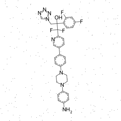 Nc1ccc(N2CCN(c3ccc(-c4ccc(C(F)(F)C(O)(Cn5cnnn5)c5ccc(F)cc5F)nc4)cc3)CC2)cc1